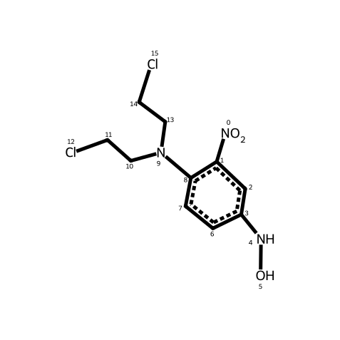 O=[N+]([O-])c1cc(NO)ccc1N(CCCl)CCCl